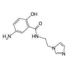 Nc1ccc(O)c(C(=O)NCCn2ccnc2)c1